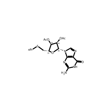 CCCSC[C@H]1O[C@@H](n2cnc3c(=O)[nH]c(N)nc32)[C@H](OC(C)=O)[C@@H]1OC(C)=O